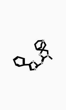 CN1CC2(CN3CCC2CC3)OC1=Nc1ncc(-c2ccccc2)s1